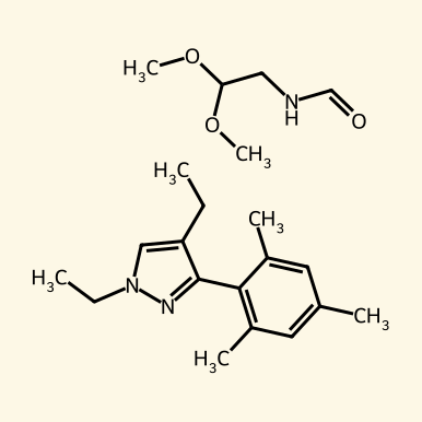 CCc1cn(CC)nc1-c1c(C)cc(C)cc1C.COC(CNC=O)OC